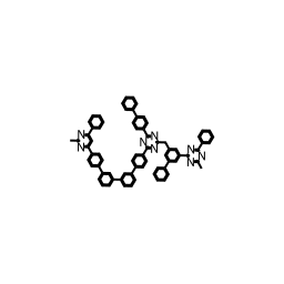 Cc1nc(-c2ccccc2)cc(-c2ccc(-c3cccc(-c4cccc(-c5ccc(-c6nc(Cc7cc(-c8ccccc8)cc(-c8nc(C)nc(-c9ccccc9)n8)c7)nc(-c7ccc(-c8ccccc8)cc7)n6)cc5)c4)c3)cc2)n1